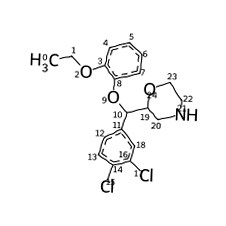 CCOc1ccccc1OC(c1ccc(Cl)c(Cl)c1)C1CNCCO1